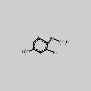 Cc1ccc(NC(=O)O)c(F)c1